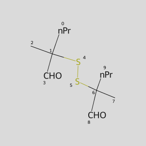 CCCC(C)(C=O)SSC(C)(C=O)CCC